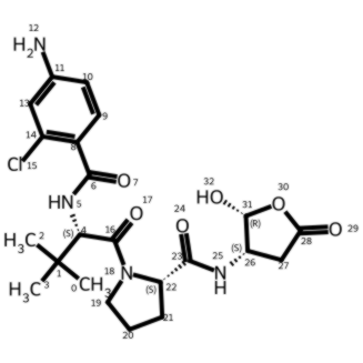 CC(C)(C)[C@H](NC(=O)c1ccc(N)cc1Cl)C(=O)N1CCC[C@H]1C(=O)N[C@H]1CC(=O)O[C@H]1O